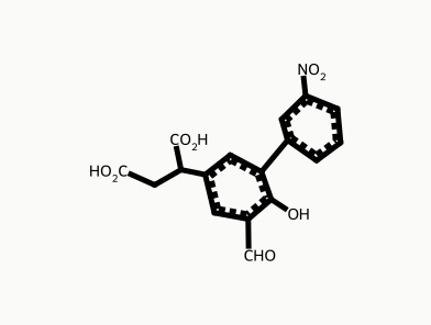 O=Cc1cc(C(CC(=O)O)C(=O)O)cc(-c2cccc([N+](=O)[O-])c2)c1O